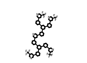 FC(F)(F)c1cncc(-c2cccc(-c3cc(-c4cccc(-c5cncc(-c6cccc(-c7cc(-c8cccc(-c9cncc(C(F)(F)F)c9)c8)cc(-c8cccc(-c9cncc(C(F)(F)F)c9)c8)c7)c6)c5)c4)cc(-c4cccc(-c5cncc(C(F)(F)F)c5)c4)c3)c2)c1